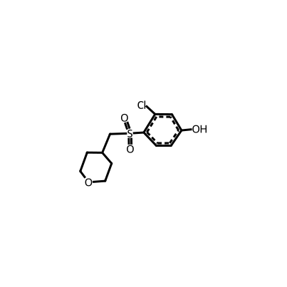 O=S(=O)(CC1CCOCC1)c1ccc(O)cc1Cl